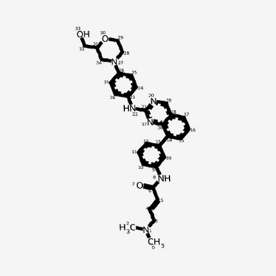 CN(C)CC=CC(=O)Nc1cccc(-c2cccc3cnc(Nc4ccc(N5CCOC(CO)C5)cc4)nc23)c1